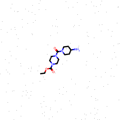 CCOC(=O)N1CCN(C(=O)N2CCC(N)CC2)CC1